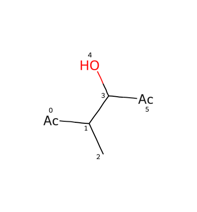 CC(=O)C(C)C(O)C(C)=O